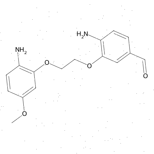 COc1ccc(N)c(OCCOc2cc(C=O)ccc2N)c1